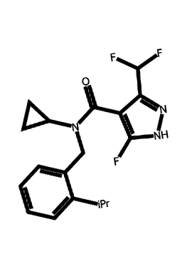 CC(C)c1ccccc1CN(C(=O)c1c(C(F)F)n[nH]c1F)C1CC1